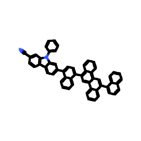 N#Cc1ccc2c3ccc(-c4ccc(-c5cc6c7ccccc7c(-c7cccc8ccccc78)cc6c6ccccc56)c5ccccc45)cc3n(-c3ccccc3)c2c1